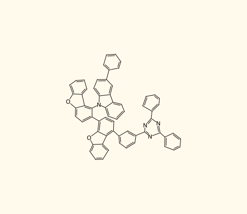 c1ccc(-c2ccc3c(c2)c2ccccc2n3-c2c(-c3ccc(-c4cccc(-c5nc(-c6ccccc6)nc(-c6ccccc6)n5)c4)c4c3oc3ccccc34)ccc3oc4ccccc4c23)cc1